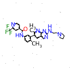 Cc1ccc(NC(=O)c2ccnc(C(F)(F)F)c2)cc1-c1cc2cnc(NCCN3CCCC3)nc2nc1C